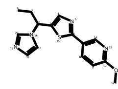 CCC(c1cnc(-c2ccc(OC)nc2)s1)n1ccnc1